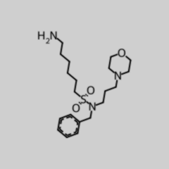 NCCCCCCS(=O)(=O)N(CCCN1CCOCC1)Cc1ccccc1